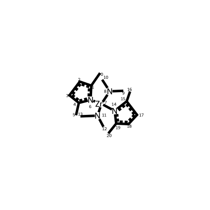 Cc1ccc(C)[n]1[Zr]([N](C)C)([N](C)C)[n]1c(C)ccc1C